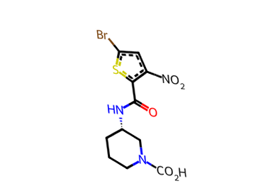 O=C(N[C@H]1CCCN(C(=O)O)C1)c1sc(Br)cc1[N+](=O)[O-]